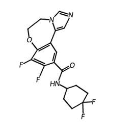 O=C(NC1CCC(F)(F)CC1)c1cc2c(c(F)c1F)OCCn1cncc1-2